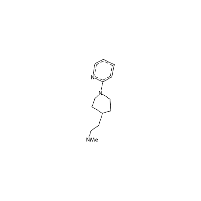 CNCCC1CCN(c2ccccn2)CC1